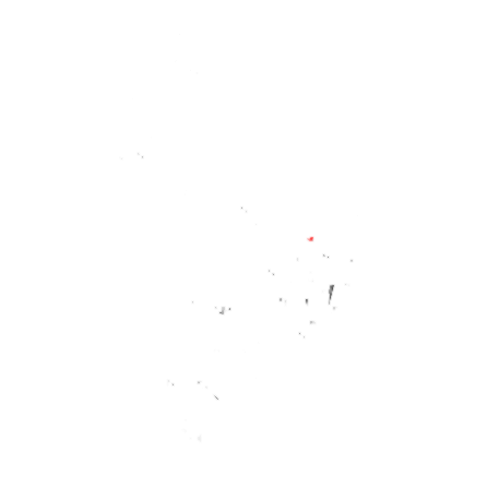 CC[C@]1(O)C[C@@H]2CN(CCc3c([nH]c4ccccc34)[C@@](C(=O)OC)(c3cc4c(cc3OC)N(C)C3[C@]45CCN4CC=C[C@@](CC)([C@@H](O[Si]6(CCCCC(=O)NCCOCCN7C(=O)CC(SCCC(=O)OC)C7=O)CCCCC6)[C@]3(O)C(=O)OC)[C@H]45)C2)C1